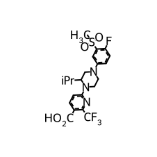 CC(C)C1CN(c2ccc(F)c(S(C)(=O)=O)c2)CCN1c1ccc(C(=O)O)c(C(F)(F)F)n1